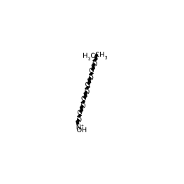 CC(C)CCOCCOCCOCCOCCOCCOCCOCCOCCOCC#[N+]O